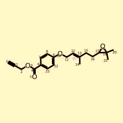 C#CCOC(=O)c1ccc(OC/C=C(\C)CCC2OC2(C)C)cc1